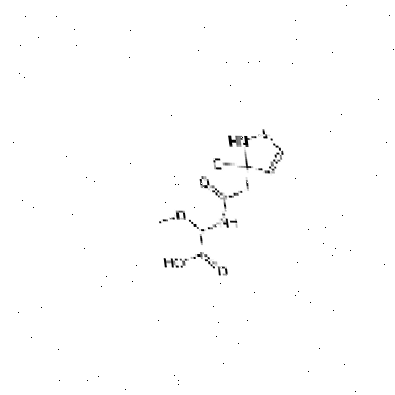 COC(NC(=O)CC1(Cl)C=CSN1)C(=O)O